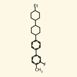 CCC1CCC(C2CCC(c3ccc(-c4ccc(C)c(F)c4)cc3)CC2)CC1